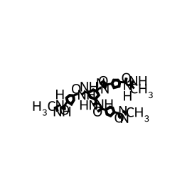 CC(=N)NC(=O)c1ccc(C(=O)NC(=N)c2cc(C(=N)NC(=O)c3ccc(-c4nc(C)no4)cc3)cc(-c3noc(-c4ccc(C(=O)NC(C)=N)cc4)n3)c2)cc1